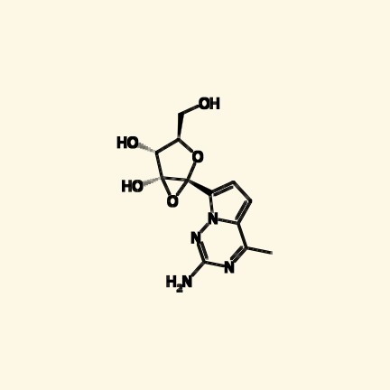 Cc1nc(N)nn2c([C@]34O[C@H](CO)[C@@H](O)[C@]3(O)O4)ccc12